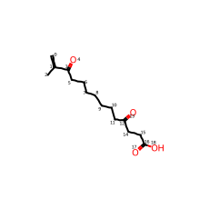 C=C(C)C(=O)CCCCCCCC(=O)CCC(=O)O